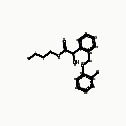 CCCCOC(=O)C(O)c1ccccc1COc1ccccc1C